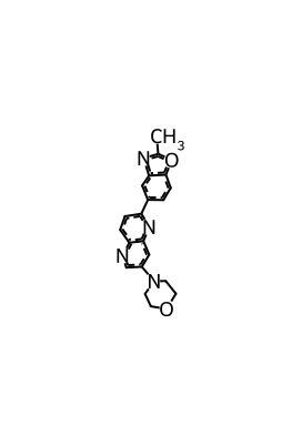 Cc1nc2cc(-c3ccc4ncc(N5CCOCC5)cc4n3)ccc2o1